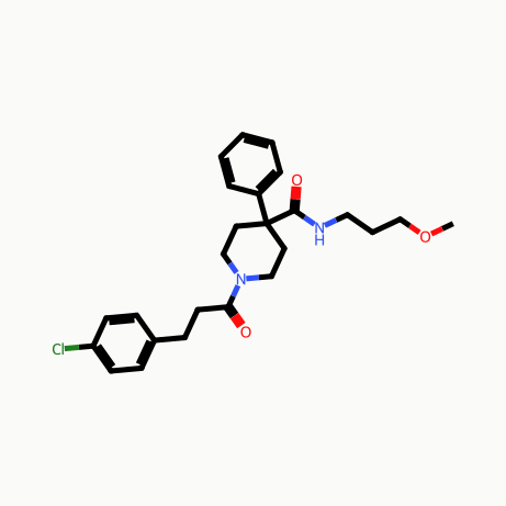 COCCCNC(=O)C1(c2ccccc2)CCN(C(=O)CCc2ccc(Cl)cc2)CC1